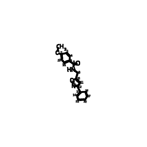 COc1ccc(C(=O)NCc2cc(-c3ccccc3)no2)cc1